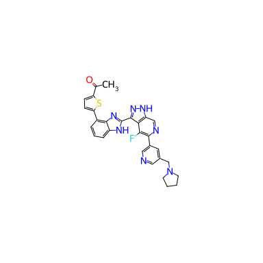 CC(=O)c1ccc(-c2cccc3[nH]c(-c4n[nH]c5cnc(-c6cncc(CN7CCCC7)c6)c(F)c45)nc23)s1